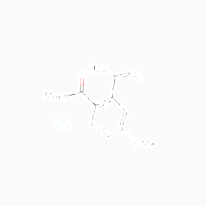 C=C(C)c1cc(OC)ccc1C(=O)OC.O